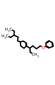 CCC(CC)CCC1CC=C(C(CC)CCCOc2ccccc2)CC1